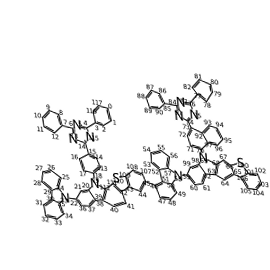 c1ccc(-c2nc(-c3ccccc3)nc(-c3ccc(-n4c5cc(-n6c7ccccc7c7ccccc76)ccc5c5ccc6c7cc(-c8cccc9c8c8ccccc8n9-c8ccc9c%10cc%11c(cc%10n(-c%10ccc(-c%12nc(-c%13ccccc%13)nc(-c%13ccccc%13)n%12)c%12ccccc%10%12)c9c8)sc8ccccc8%11)ccc7sc6c54)cc3)n2)cc1